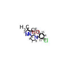 Cc1cnn(C2CCCN(c3cc(Cl)ccc3O)C2)c1C(F)(F)F